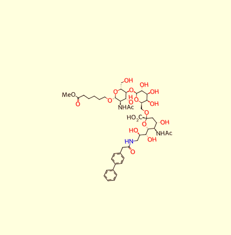 COC(=O)CCCCCO[C@@H]1O[C@H](CO)[C@@H](O[C@@H]2O[C@H](CO[C@]3(C(=O)O)C[C@H](O)[C@@H](NC(C)=O)[C@H]([C@H](O)[C@H](O)CNC(=O)Cc4ccc(-c5ccccc5)cc4)O3)[C@H](O)[C@H](O)[C@H]2O)[C@H](O)[C@H]1NC(C)=O